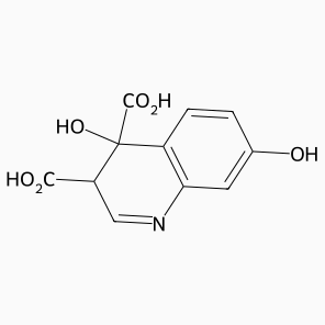 O=C(O)C1C=Nc2cc(O)ccc2C1(O)C(=O)O